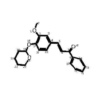 COc1cc(/C=C/C(=O)c2ccccc2)ccc1OC1CCCCO1